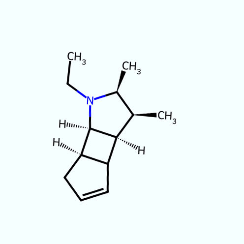 CCN1[C@H]2[C@H](C3C=CC[C@H]32)[C@H](C)[C@@H]1C